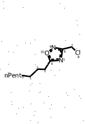 CCCCCCCCc1nc(CCl)no1